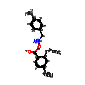 CCCCCc1cc(CCCC)ccc1C(=O)ONCc1ccc(CCCC)cc1